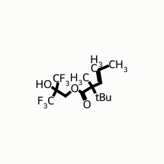 CC(C)=CC(C)(C(=O)OCC(O)(C(F)(F)F)C(F)(F)F)C(C)(C)C